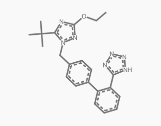 CCOc1nc(C(C)(C)C)n(Cc2ccc(-c3ccccc3-c3nnn[nH]3)cc2)n1